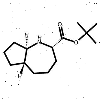 CC(C)(C)OC(=O)[C@@H]1CCC[C@@H]2CCC[C@H]2N1